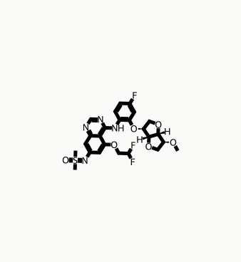 CO[C@@H]1CO[C@H]2[C@@H]1OC[C@H]2Oc1cc(F)ccc1Nc1ncnc2cc(N=S(C)(C)=O)cc(OCC(F)F)c12